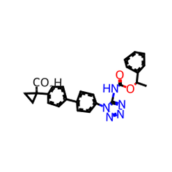 CC(OC(=O)Nc1nnnn1-c1ccc(-c2ccc(C3(C(=O)O)CC3)cc2)cc1)c1ccccc1